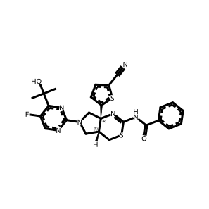 CC(C)(O)c1nc(N2C[C@H]3CSC(NC(=O)c4ccccc4)=N[C@@]3(c3ccc(C#N)s3)C2)ncc1F